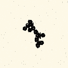 c1ccc(-c2nc(-c3ccc(-c4ccc(-c5nc6ccccc6c6oc(-c7ccccc7)c(-c7ccccc7)c56)cc4)cc3)nc(-c3cccc(-n4c5ccccc5c5ccccc54)c3)n2)cc1